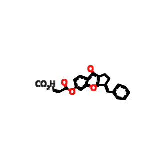 O=C(O)/C=C\C(=O)Oc1ccc2c(=O)c3c(oc2c1)/C(=C/c1ccccc1)CC3